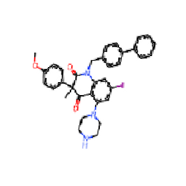 COc1ccc(C2(C)C(=O)c3c(N4CCNCC4)cc(I)cc3N(Cc3ccc(-c4ccccc4)cc3)C2=O)cc1